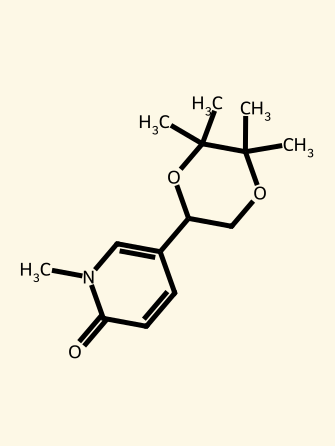 Cn1cc(C2COC(C)(C)C(C)(C)O2)ccc1=O